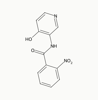 O=C(Nc1cnccc1O)c1ccccc1[N+](=O)[O-]